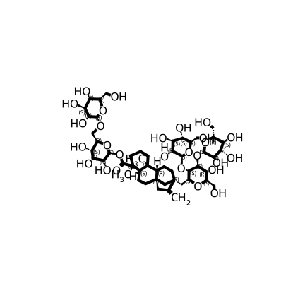 C=C1C[C@@]23CC[C@H]4[C@@](C)(CCC[C@@]4(C)C(=O)O[C@@H]4O[C@H](CO[C@H]5O[C@H](CO)[C@@H](O)[C@H](O)[C@H]5O)[C@@H](O)[C@H](O)[C@H]4O)[C@@H]2CC[C@]1(C[C@@H]1O[C@H](CO)[C@@H](O)[C@H](O[C@@H]2O[C@H](CO)[C@@H](O)[C@H](O)[C@H]2O)[C@H]1O[C@@H]1O[C@H](CO)[C@@H](O)[C@H](O)[C@H]1O)C3